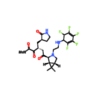 CNC(=O)C(=O)[C@@H](CC(=O)[C@@H]1[C@@H]2[C@H](CN1CCNC1C(F)=C(F)C(F)=C(F)C1F)C2(C)C)C[C@@H]1CCNC1=O